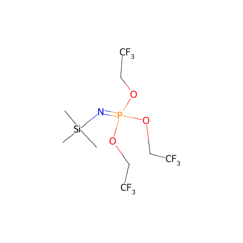 C[Si](C)(C)N=P(OCC(F)(F)F)(OCC(F)(F)F)OCC(F)(F)F